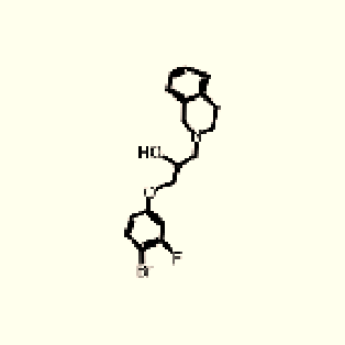 OC(COc1ccc(Br)c(F)c1)CN1CCc2ccccc2C1